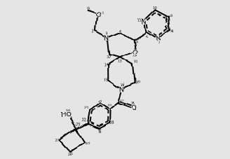 COCN1CC(c2ncccn2)OC2(CCN(C(=O)c3ccc(C4(O)CCC4)cc3)CC2)C1